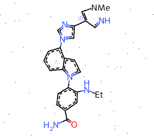 CCNc1cc(C(N)=O)ccc1-n1ccc2c(-n3cnc(/C(C=N)=C/NC)c3)cccc21